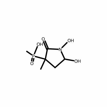 CC1(P(C)(=O)O)CC(O)N(O)C1=O